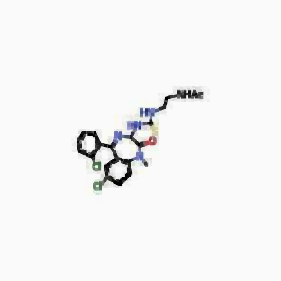 CC(=O)NCCNC(=S)NC1N=C(c2ccccc2Cl)c2cc(Cl)ccc2N(C)C1=O